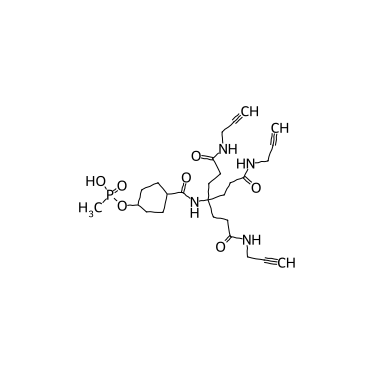 C#CCNC(=O)CCC(CCC(=O)NCC#C)(CCC(=O)NCC#C)NC(=O)C1CCC(OP(C)(=O)O)CC1